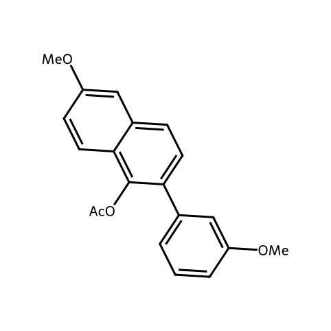 COc1cccc(-c2ccc3cc(OC)ccc3c2OC(C)=O)c1